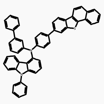 c1ccc(-c2cccc(N(c3ccc(-c4ccc5c(c4)sc4c6ccccc6ccc54)cc3)c3cccc4c3c3ccccc3n4-c3ccccc3)c2)cc1